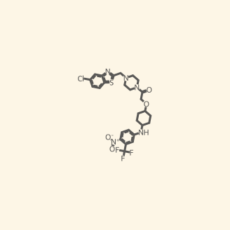 O=C(COC1CCC(Nc2ccc([N+](=O)[O-])c(C(F)(F)F)c2)CC1)N1CCN(Cc2nc3cc(Cl)ccc3s2)CC1